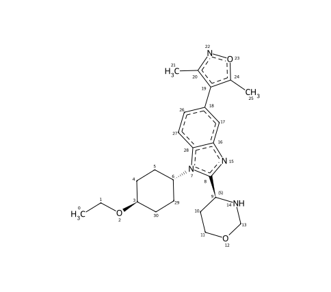 CCO[C@H]1CC[C@H](n2c([C@@H]3CCOCN3)nc3cc(-c4c(C)noc4C)ccc32)CC1